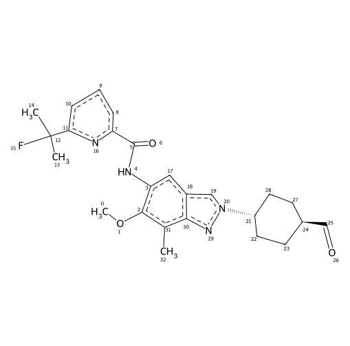 COc1c(NC(=O)c2cccc(C(C)(C)F)n2)cc2cn([C@H]3CC[C@H](C=O)CC3)nc2c1C